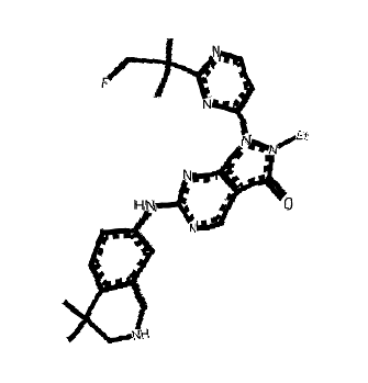 CCn1c(=O)c2cnc(Nc3ccc4c(c3)CNCC4(C)C)nc2n1-c1ccnc(C(C)(C)CF)n1